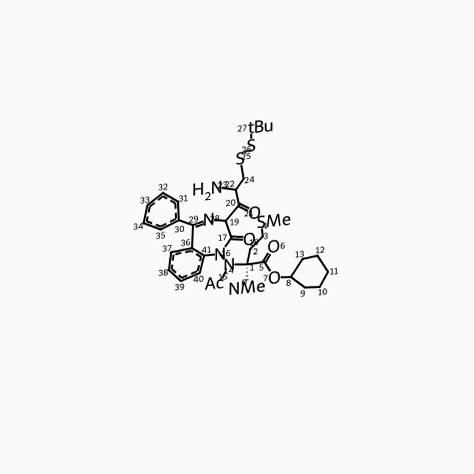 CN[C@](CCSC)(C(=O)OC1CCCCC1)N(C(C)=O)N1C(=O)C(C(=O)C(N)CSSC(C)(C)C)N=C(c2ccccc2)c2ccccc21